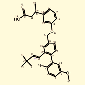 COc1ccc(F)c(-c2ccc(COc3cccc([C@H](C)CC(=O)O)c3)cc2/C=C/C(C)(C)C)c1